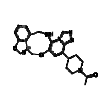 CC(=O)N1CCC(c2cc3c(n4cnnc24)NCc2cccc4c2[C@H](CO4)CO3)CC1